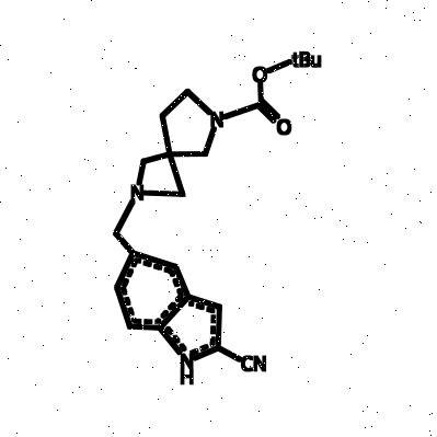 CC(C)(C)OC(=O)N1CCC2(CN(Cc3ccc4[nH]c(C#N)cc4c3)C2)C1